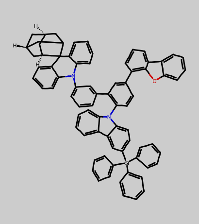 c1ccc([Si](c2ccccc2)(c2ccccc2)c2ccc3c(c2)c2ccccc2n3-c2ccc(-c3cccc4c3oc3ccccc34)cc2-c2cccc(N3c4ccccc4C4(c5ccccc53)C3C[C@H]5C[C@@H](C3)C[C@@H]4C5)c2)cc1